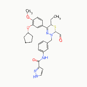 CCC1SC(C=O)N(Cc2cccc(NC(=O)c3cc[nH]n3)c2)N=C1c1ccc(OC)c(OC2CCCC2)c1